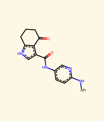 CCCNc1ccc(NC(=O)c2c[nH]c3c2C(=O)CCC3)cn1